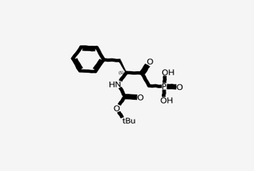 CC(C)(C)OC(=O)N[C@@H](Cc1ccccc1)C(=O)CP(=O)(O)O